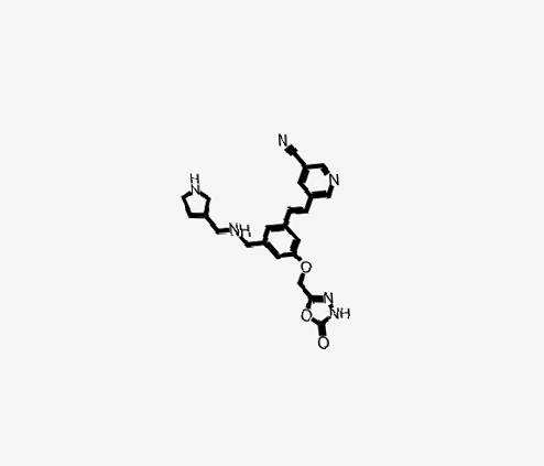 N#Cc1cncc(/C=C/c2cc(CNCC3CCNC3)cc(OCc3n[nH]c(=O)o3)c2)c1